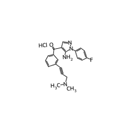 CN(C)CC#Cc1cccc(C(=O)c2cnn(-c3ccc(F)cc3)c2N)c1.Cl